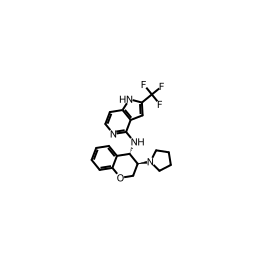 FC(F)(F)c1cc2c(N[C@H]3c4ccccc4OC[C@@H]3N3CCCC3)nccc2[nH]1